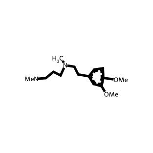 CNCCCN(C)CCc1ccc(OC)c(OC)c1